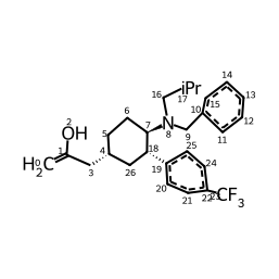 C=C(O)C[C@@H]1CC[C@@H](N(Cc2ccccc2)CC(C)C)[C@H](c2ccc(C(F)(F)F)cc2)C1